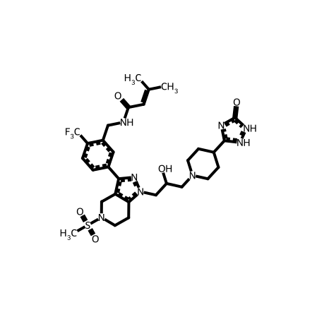 CC(C)=CC(=O)NCc1cc(-c2nn(CC(O)CN3CCC(c4nc(=O)[nH][nH]4)CC3)c3c2CN(S(C)(=O)=O)CC3)ccc1C(F)(F)F